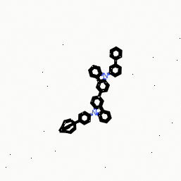 C1=CC2(c3ccc(-n4c5ccccc5c5cc(-c6ccc7c(c6)c6ccccc6n7-c6cccc(-c7ccccc7)c6)ccc54)cc3)C=CC3C1C3C=C2